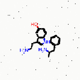 CC(N)Cc1ccccc1.NCCc1c[nH]c2ccc(O)cc12